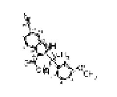 COc1cccc(C(C)(C)c2[nH]c3cc(C#N)ccc3c2C(=O)O)n1